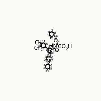 O=C(N[C@@H](COCc1ccccc1)C(=O)O)c1cc(-c2ccc(Cl)c(Cl)c2)nc(N2CCN(c3ccccc3)CC2)n1